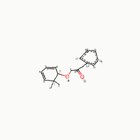 CC1(C)C=CC=CC1OCC(=O)c1ccccc1